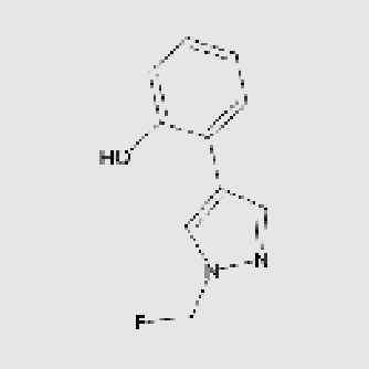 Oc1ccccc1-c1cnn(CF)c1